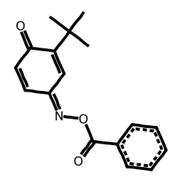 CC(C)(C)C1=C/C(=N\OC(=O)c2ccccc2)C=CC1=O